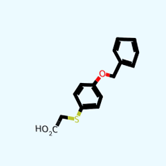 O=C(O)CSc1ccc(OCc2ccccc2)cc1